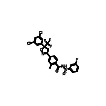 Cc1cc(C2=NOC(c3cc(Cl)cc(Cl)c3)(C(F)(F)F)C2)ccc1C(=O)N[S+]([O-])c1cccc(F)c1